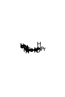 CC(C)NC(=O)Cn1cc(-c2ccc(-c3cnc4nnc(C5(c6ccc7ncccc7c6)CC5)n4n3)cc2)cn1